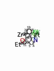 CCC1=NC2=CC=CC2=C1.CCc1ccc(C2=Cc3ccccc3[CH]2[Zr+2])o1.[Cl-].[Cl-]